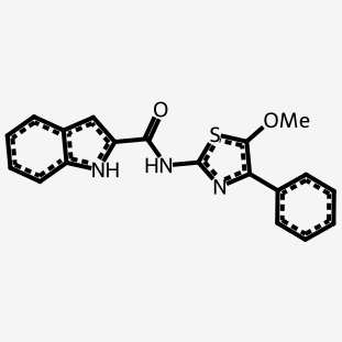 COc1sc(NC(=O)c2cc3ccccc3[nH]2)nc1-c1ccccc1